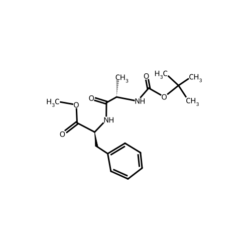 COC(=O)[C@H](Cc1ccccc1)NC(=O)[C@H](C)NC(=O)OC(C)(C)C